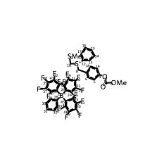 COC(=O)Oc1ccc(C[S+](CSC)c2ccccc2)cc1.Fc1c(F)c(F)c([B-](c2ccccc2)(c2c(F)c(F)c(F)c(F)c2F)c2c(F)c(F)c(F)c(F)c2F)c(F)c1F